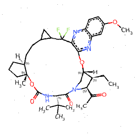 CC[C@@H]1[C@@H]2CN(C(=O)[C@H](C(C)(C)C)NC(=O)O[C@]3(C)CCC[C@H]3CCC3CC3C(F)(F)c3nc4ccc(OC)cc4nc3O2)[C@@H]1C(C)=O